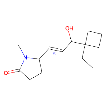 CCC1(C(O)/C=C/C2CCC(=O)N2C)CCC1